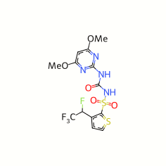 COc1cc(OC)nc(NC(=O)NS(=O)(=O)c2sccc2C(F)C(F)(F)F)n1